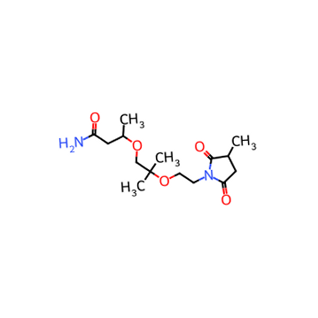 CC(CC(N)=O)OCC(C)(C)OCCN1C(=O)CC(C)C1=O